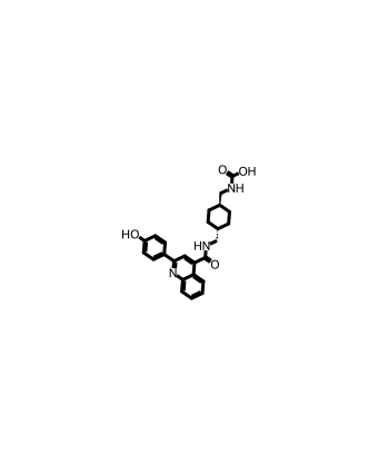 O=C(O)NC[C@H]1CC[C@H](CNC(=O)c2cc(-c3ccc(O)cc3)nc3ccccc23)CC1